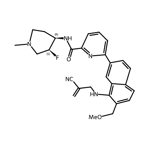 C=C(C#N)CNc1c(COC)ccc2ccc(-c3cccc(C(=O)N[C@@H]4CCN(C)C[C@@H]4F)n3)cc12